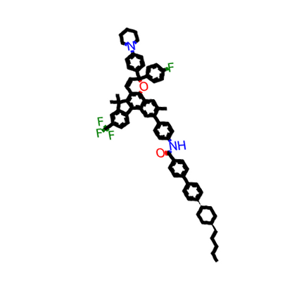 CCCCC[C@H]1CC[C@H](c2ccc(-c3ccc(C(=O)Nc4ccc(-c5cc6c7c(c8c(c6cc5C)OC(c5ccc(F)cc5)(c5ccc(N6CCCCC6)cc5)C=C8)C(C)(C)c5cc(C(F)(F)F)ccc5-7)cc4)cc3)cc2)CC1